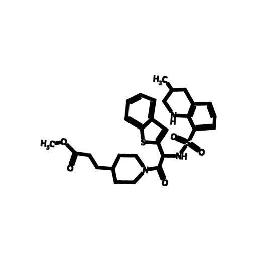 COC(=O)CCC1CCN(C(=O)C(NS(=O)(=O)c2cccc3c2NCC(C)C3)c2cc3ccccc3s2)CC1